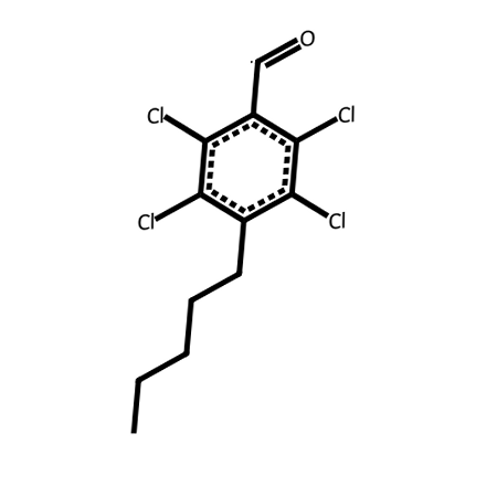 CCCCCc1c(Cl)c(Cl)c([C]=O)c(Cl)c1Cl